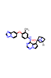 Cc1cc(Nc2ncnn3ccc(CN4C5C[C@@H](O)C[C@@H]4C5)c23)ccc1Oc1ccn2ncnc2c1